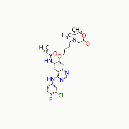 C=CC(=O)Nc1cc2c(Nc3ccc(F)c(Cl)c3)ncnc2cc1OCCCCN1CC(=O)OCC1(C)C